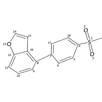 CS(=O)(=O)c1ccc(-c2cccc3occc23)cc1